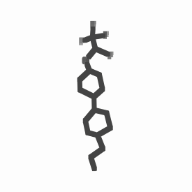 CCCC1CCC(C2CCC(OC(F)C(F)(F)F)CC2)CC1